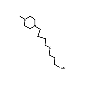 CSCCCOCCCCN1CCN(C)CC1